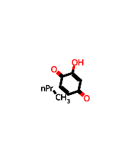 CCCC.O=C1C=CC(=O)C(O)=C1